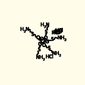 Cl.Cl.Cl.Cl.Cl.NCCCSCCOC[C@H]1O[C@H](OCCSCCCN)[C@H](OCCSCCCN)[C@@H](OCCSCCCN)[C@@H]1OCCSCCCN